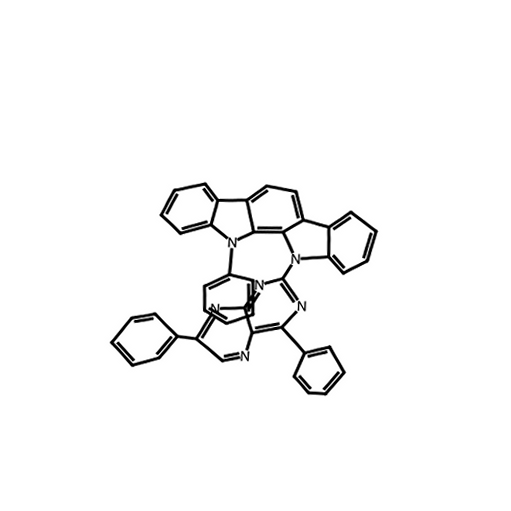 c1ccc(-c2cnc3c(-c4ccccc4)nc(-n4c5ccccc5c5ccc6c7ccccc7n(-c7ccccc7)c6c54)nc3n2)cc1